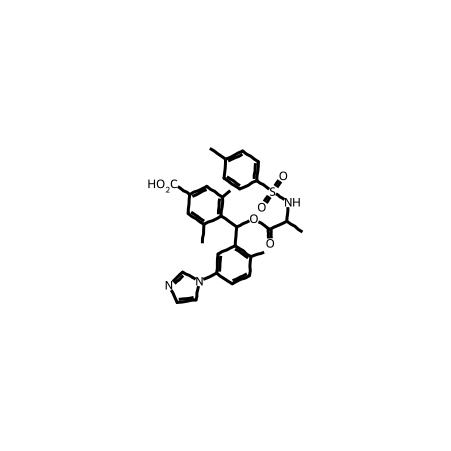 Cc1ccc(S(=O)(=O)NC(C)C(=O)OC(c2cc(-n3ccnc3)ccc2C)c2c(C)cc(C(=O)O)cc2C)cc1